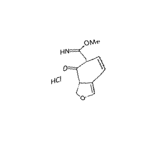 COC(=N)C1C=CC2=COCC2C1=O.Cl